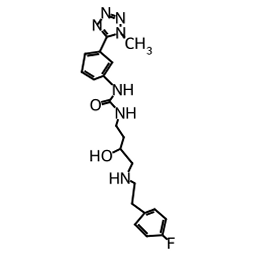 Cn1nnnc1-c1cccc(NC(=O)NCCC(O)CNCCc2ccc(F)cc2)c1